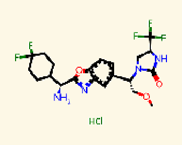 COC[C@H](c1ccc2oc([C@@H](N)C3CCC(F)(F)CC3)nc2c1)N1C[C@@H](C(F)(F)F)NC1=O.Cl